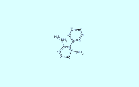 N.N.Nc1ccccc1-c1ccccc1